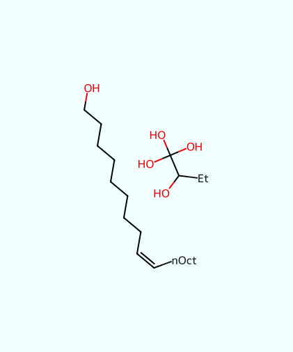 CCC(O)C(O)(O)O.CCCCCCCC/C=C\CCCCCCCCO